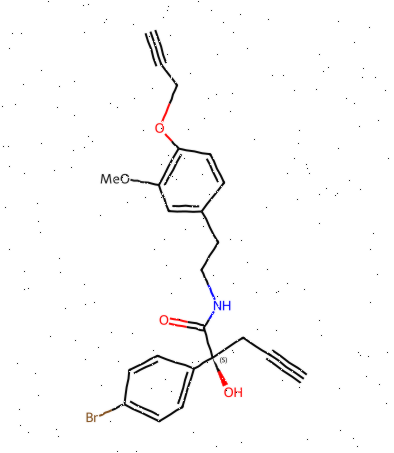 C#CCOc1ccc(CCNC(=O)[C@](O)(CC#C)c2ccc(Br)cc2)cc1OC